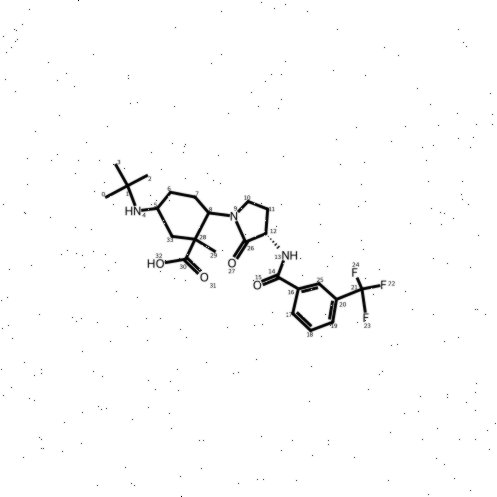 CC(C)(C)NC1CCC(N2CC[C@H](NC(=O)c3cccc(C(F)(F)F)c3)C2=O)C(C)(C(=O)O)C1